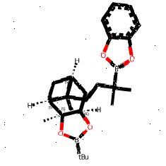 CC(C)(C)B1O[C@@H]2C[C@@H]3C[C@@H](C3(C)CCC(C)(C)B3Oc4ccccc4O3)[C@]2(C)O1